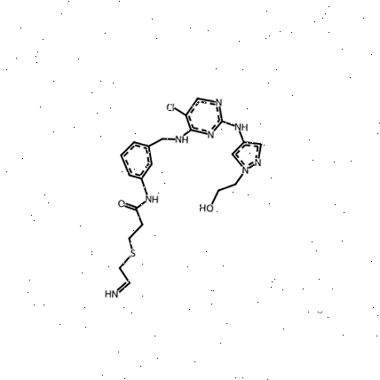 N=CCSCCC(=O)Nc1cccc(CNc2nc(Nc3cnn(CCO)c3)ncc2Cl)c1